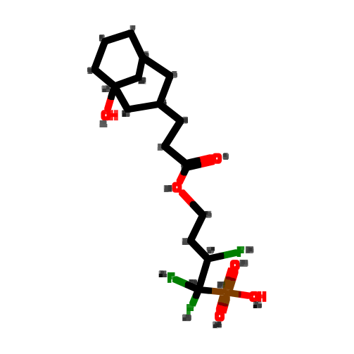 O=C(CCC1CC2CCCC(O)(C2)C1)OCCC(F)C(F)(F)S(=O)(=O)O